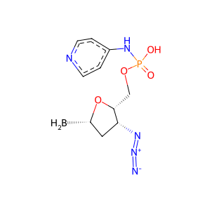 B[C@H]1C[C@@H](N=[N+]=[N-])[C@@H](COP(=O)(O)Nc2ccncc2)O1